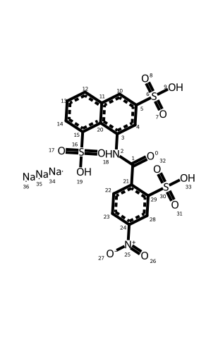 O=C(Nc1cc(S(=O)(=O)O)cc2cccc(S(=O)(=O)O)c12)c1ccc([N+](=O)[O-])cc1S(=O)(=O)O.[Na].[Na].[Na]